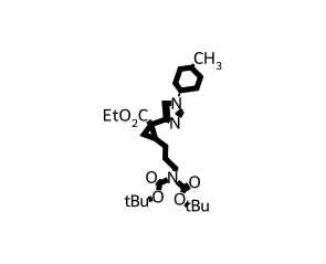 CCOC(=O)C1(c2cn([C@H]3CC[C@H](C)CC3)cn2)CC1CCCN(C(=O)OC(C)(C)C)C(=O)OC(C)(C)C